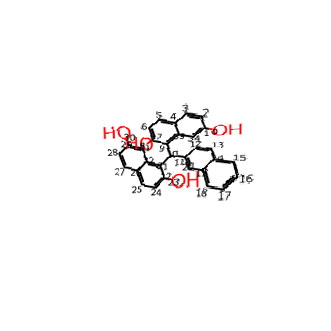 Oc1ccc2ccc(O)c(C(c3ccc4ccccc4c3)c3c(O)ccc4ccc(O)cc34)c2c1